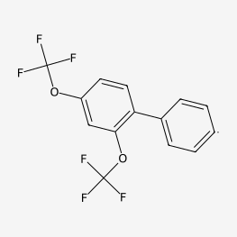 FC(F)(F)Oc1ccc(-c2cc[c]cc2)c(OC(F)(F)F)c1